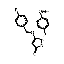 COc1ccc(C[C@@H]2NC(=O)C=C2OCc2ccc(F)cc2)cc1